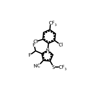 N#Cc1c(SC(F)(F)F)cn(-c2c(Cl)cc(C(F)(F)F)cc2Cl)c1C(F)F